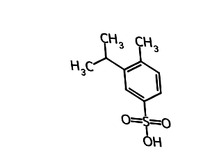 Cc1ccc(S(=O)(=O)O)cc1C(C)C